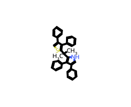 CC(C)(c1[nH]cc(-c2ccccc2)c1-c1ccccc1)c1scc(-c2ccccc2)c1-c1ccccc1